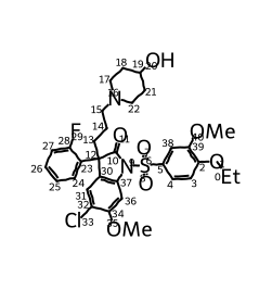 CCOc1ccc(S(=O)(=O)N2C(=O)C(CCCN3CCC(O)CC3)(c3ccccc3F)c3cc(Cl)c(OC)cc32)cc1OC